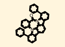 O=c1c2ccccc2n2c3c(-c4ccccc4)cccc3c3ccc4c5cccc(-c6ccccc6)c5n1c4c32